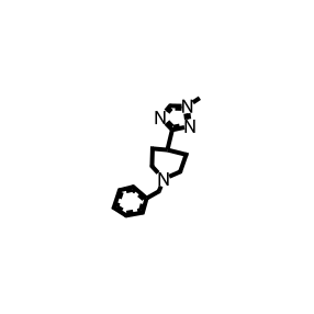 Cn1cnc(C2CCN(Cc3ccccc3)CC2)n1